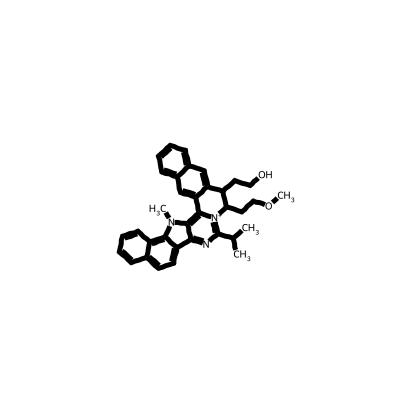 COCCC1C(CCO)c2cc3ccccc3cc2-c2c3c(nc(C(C)C)[n+]21)c1ccc2ccccc2c1n3C